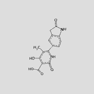 Cc1c(-c2ccc3c(c2)CC(=O)N3)[nH]c(=O)c(C(=O)O)c1O